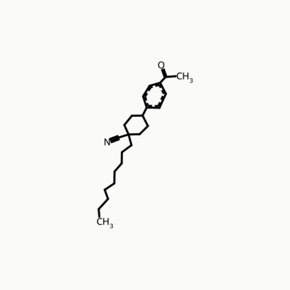 CCCCCCCCCC1(C#N)CCC(c2ccc(C(C)=O)cc2)CC1